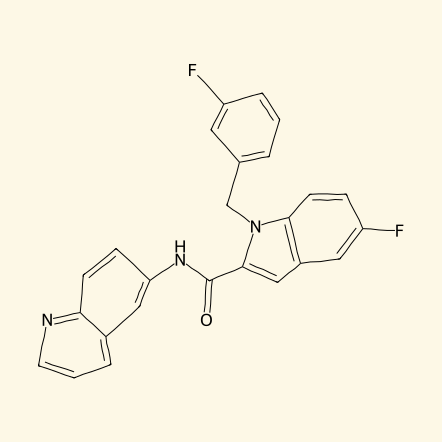 O=C(Nc1ccc2ncccc2c1)c1cc2cc(F)ccc2n1Cc1cccc(F)c1